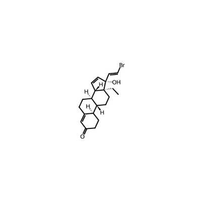 CC[C@]12CC[C@H]3[C@@H](CCC4=CC(=O)CC[C@@H]43)[C@@H]1C=C[C@@]2(O)/C=C/Br